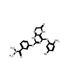 CN(C)C(=O)c1cccc(OC2=NC(Oc3cc(C#N)ccc3N)=C3NC(=O)CN=C3N2)c1